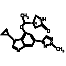 CC(Oc1cc(-c2cnn(C)n2)cc2ncn(C3CC3)c12)[C@H]1CNC(=O)C1